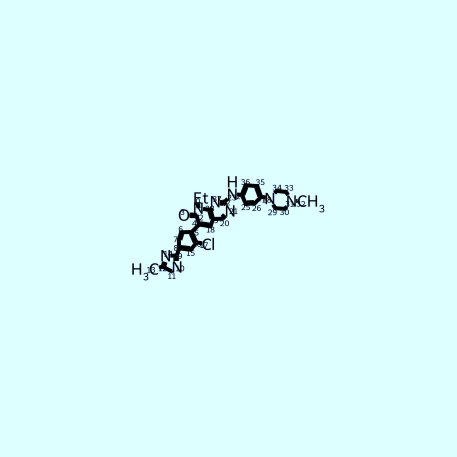 CCn1c(=O)c(-c2ccc(C3=NCC(C)=N3)cc2Cl)cc2cnc(Nc3ccc(N4CCN(C)CC4)cc3)nc21